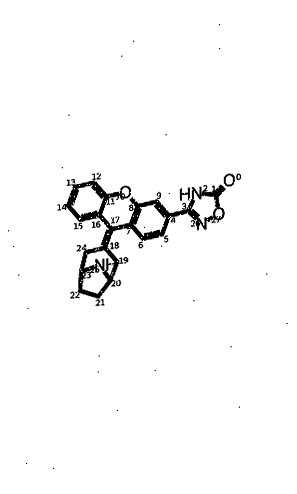 O=c1[nH]c(-c2ccc3c(c2)Oc2ccccc2C3=C2CC3CCC(C2)N3)no1